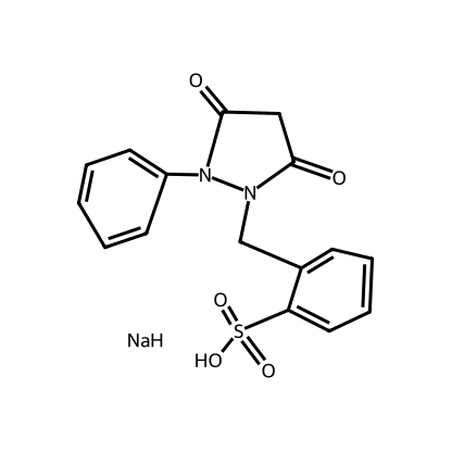 O=C1CC(=O)N(c2ccccc2)N1Cc1ccccc1S(=O)(=O)O.[NaH]